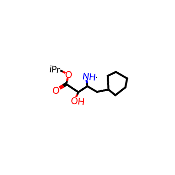 CC(C)OC(=O)C(O)C([NH])CC1CCCCC1